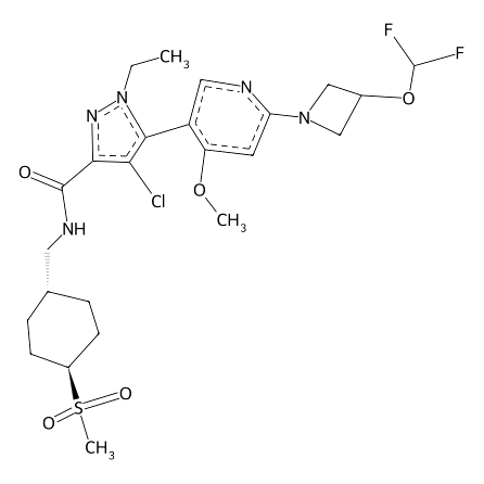 CCn1nc(C(=O)NC[C@H]2CC[C@H](S(C)(=O)=O)CC2)c(Cl)c1-c1cnc(N2CC(OC(F)F)C2)cc1OC